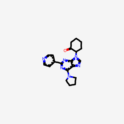 O=C1CCCCC1n1cnc2c(N3CCCC3)nc(-c3ccncc3)nc21